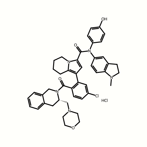 CN1CCc2cc(N(C(=O)c3cc(-c4cc(Cl)ccc4C(=O)N4Cc5ccccc5C[C@H]4CN4CCOCC4)c4n3CCCC4)c3ccc(O)cc3)ccc21.Cl